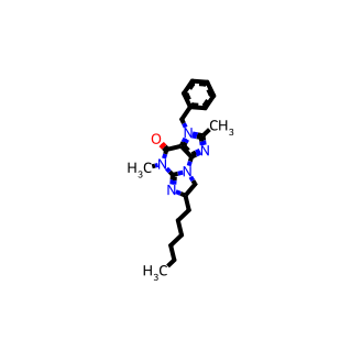 CCCCCCC1CN2C(=N1)N(C)C(=O)c1c2nc(C)n1Cc1ccccc1